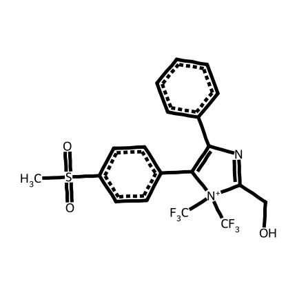 CS(=O)(=O)c1ccc(C2=C(c3ccccc3)N=C(CO)[N+]2(C(F)(F)F)C(F)(F)F)cc1